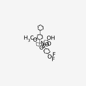 COc1cc(-c2ccccc2)ccc1C1(N(CC(=O)O)S(=O)(=O)c2ccc(OC(F)F)cc2)CCC1